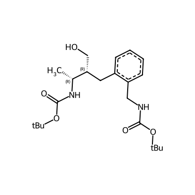 C[C@@H](NC(=O)OC(C)(C)C)[C@H](CO)Cc1ccccc1CNC(=O)OC(C)(C)C